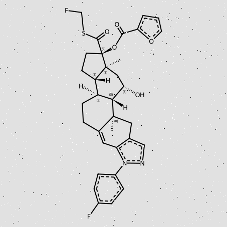 C[C@]12Cc3cnn(-c4ccc(F)cc4)c3C=C1CC[C@@H]1[C@@H]2[C@@H](O)C[C@@]2(C)[C@H]1CC[C@]2(OC(=O)c1ccco1)C(=O)SCF